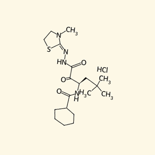 CN1CCS/C1=N\NC(=O)C(=O)[C@@H](CC(C)(C)C)NC(=O)C1CCCCC1.Cl